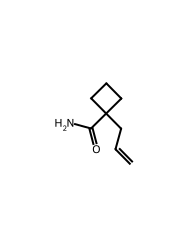 C=CCC1(C(N)=O)CCC1